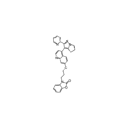 O=c1oc2ccccc2n1CCCOc1ccc2c(-c3c(-c4ccccn4)nn4c3CCC4)ccnc2c1